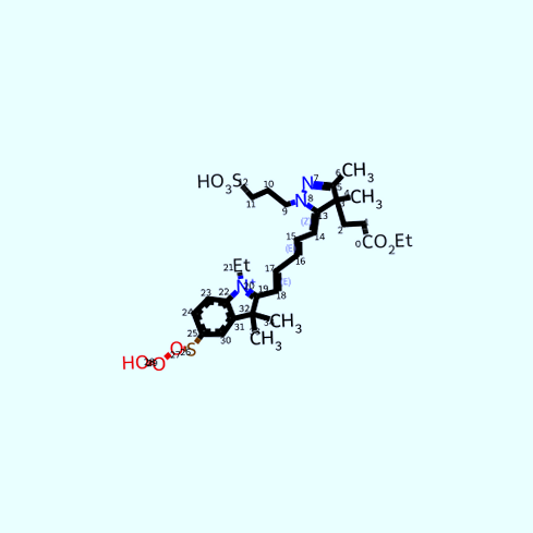 CCOC(=O)CCC1(C)C(C)=NN(CCCS(=O)(=O)O)\C1=C/C=C/C=C/C1=[N+](CC)c2ccc(SOOO)cc2C1(C)C